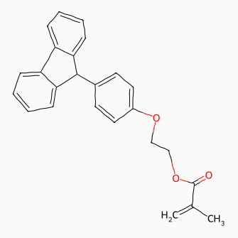 C=C(C)C(=O)OCCOc1ccc(C2c3ccccc3-c3ccccc32)cc1